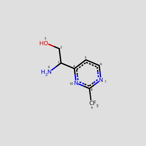 NC(CO)c1ccnc(C(F)(F)F)n1